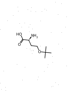 CC(C)(C)OCC[C@H](N)C(=O)O